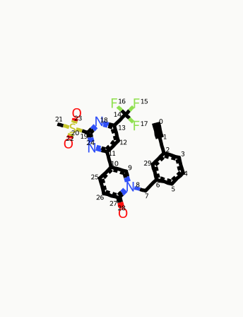 C#Cc1cccc(Cn2cc(-c3cc(C(F)(F)F)nc(S(C)(=O)=O)n3)ccc2=O)c1